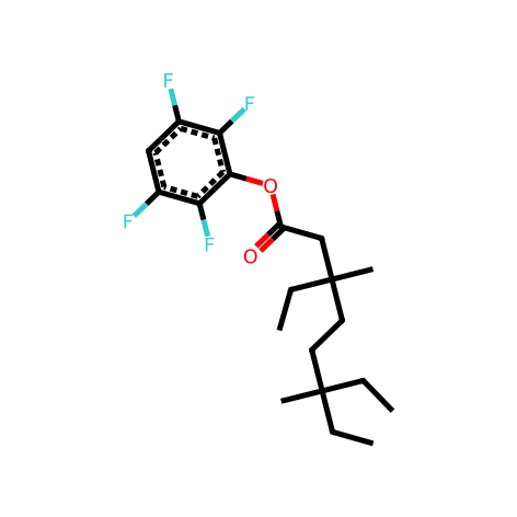 CCC(C)(CC)CCC(C)(CC)CC(=O)Oc1c(F)c(F)cc(F)c1F